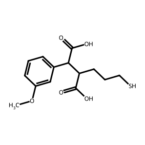 COc1cccc(C(C(=O)O)C(CCCS)C(=O)O)c1